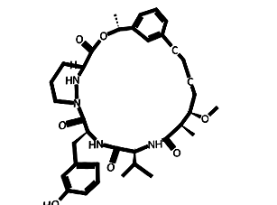 CO[C@@H]1CCCCc2cccc(c2)[C@@H](C)OC(=O)[C@@H]2CCCN(N2)C(=O)[C@H](Cc2cccc(O)c2)NC(=O)[C@H](C(C)C)NC(=O)[C@@H]1C